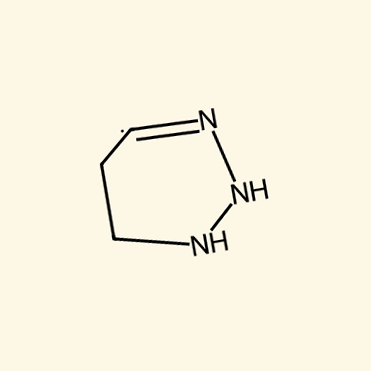 [C]1=NNNCC1